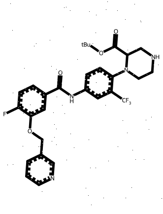 CC(C)(C)OC(=O)C1CNCCN1c1ccc(NC(=O)c2ccc(F)c(OCc3cccnc3)c2)cc1C(F)(F)F